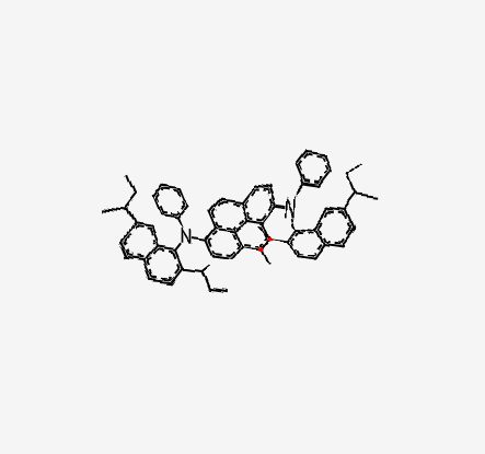 CCC(C)c1ccc2ccc(C(C)CC)c(N(c3ccccc3)c3ccc4ccc5c(N(c6ccccc6)c6c(C(C)CC)ccc7ccc(C(C)CC)cc67)ccc6ccc3c4c65)c2c1